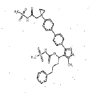 Cc1noc(-c2ccc(-c3ccc(C4(CC(=O)NS(C)(=O)=O)CC4)cc3)cc2)c1C(CCCc1ccccc1)OC(=O)NS(C)(=O)=O